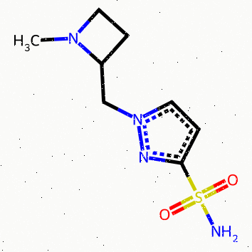 CN1CCC1Cn1ccc(S(N)(=O)=O)n1